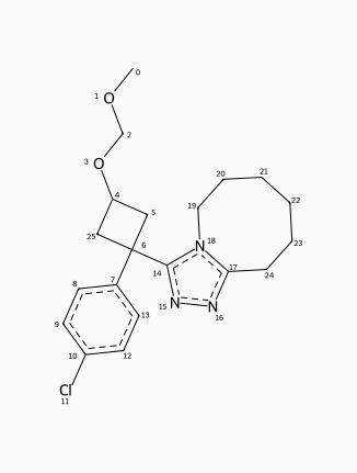 COCOC1CC(c2ccc(Cl)cc2)(c2nnc3n2CCCCCC3)C1